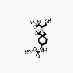 CC(C)(C)OC(=O)NC1CCC2(CC1)CN(C(CS)C(N)=O)C2=O